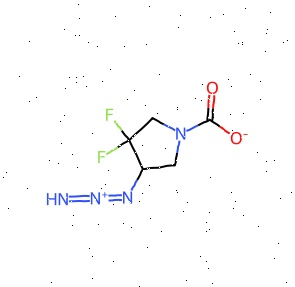 N=[N+]=NC1CN(C(=O)[O-])CC1(F)F